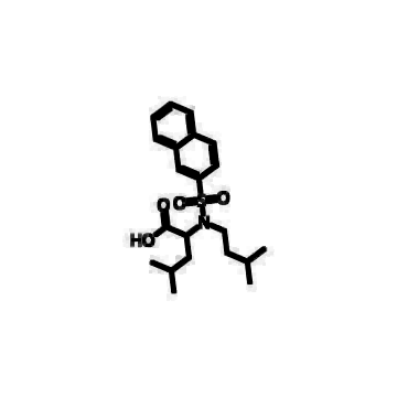 CC(C)CCN(C(CC(C)C)C(=O)O)S(=O)(=O)c1ccc2ccccc2c1